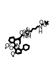 COC(=O)[C@@H]1CC=CC2=C3C(=C3C(=O)NS(=O)(=O)N(C)CCCCNC(=O)OC(C)(C)C)Cn3c(cc4c(OC)ccc(C5CCCCC5)c43)C21